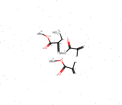 C=C(C)C(=O)OC.C=C(C)C(=O)OCCCC.C=C(CC(=O)O)C(=O)OCCCC